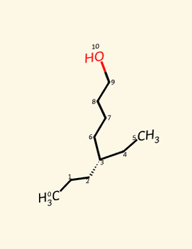 CCC[C@@H](CC)CCCCO